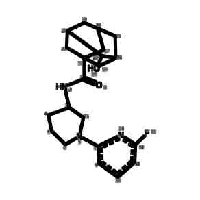 O=C(NC1CCCN(c2cccc(F)n2)C1)C12CC3CC(C1)C(O)C(C3)C2